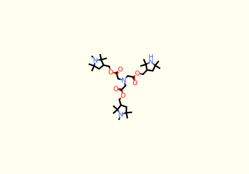 CN1C(C)(C)CC(COC(=O)CN(CC(=O)OCC2CC(C)(C)NC2(C)C)CC(=O)OCC2CC(C)(C)N(C)C2(C)C)C1(C)C